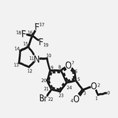 CCOC(=O)c1coc2c(CN3CCCC3C(F)(F)F)cc(Br)cc12